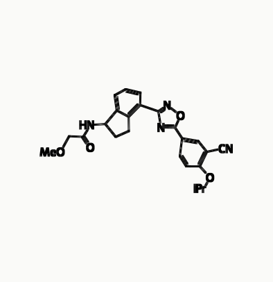 COCC(=O)NC1CCc2c(-c3noc(-c4ccc(OC(C)C)c(C#N)c4)n3)cccc21